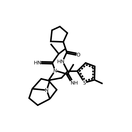 CC(=N)N(C(=N)C(C)C)C1CC2CCC(C1)N2CCC(NC(=O)C1CCCC1)c1ccc(C)s1